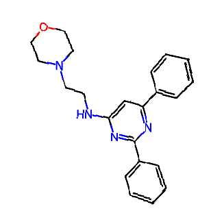 c1ccc(-c2cc(NCCN3CCOCC3)nc(-c3ccccc3)n2)cc1